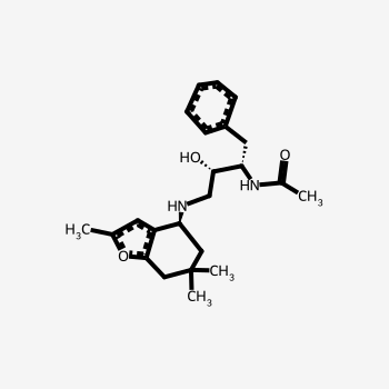 CC(=O)N[C@@H](Cc1ccccc1)[C@@H](O)CN[C@H]1CC(C)(C)Cc2oc(C)cc21